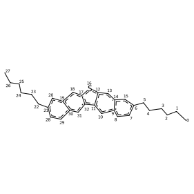 CCCCCCc1ccc2cc3c(cc2c1)sc1cc2cc(CCCCCC)ccc2cc13